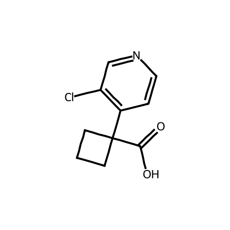 O=C(O)C1(c2ccncc2Cl)CCC1